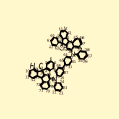 CC1(c2ccccc2)c2ccccc2-c2c1cc(N(c1ccccc1)c1ccc(-c3ccc(N(c4ccccc4)c4cc5c(c6ccccc46)-c4ccccc4C5(C)c4ccccc4)cc3)cc1)c1ccccc21